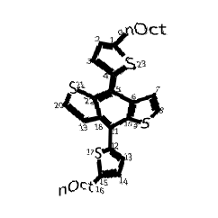 CCCCCCCCc1ccc(-c2c3ccsc3c(-c3ccc(CCCCCCCC)s3)c3ccsc23)s1